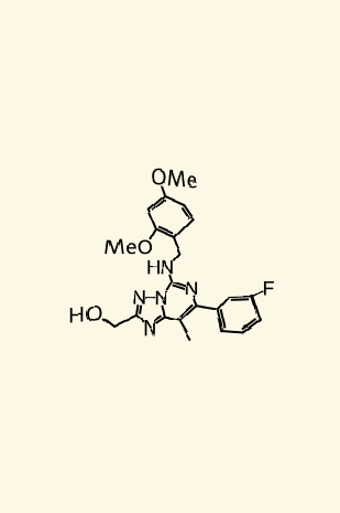 COc1ccc(CNc2nc(-c3cccc(F)c3)c(C)c3nc(CO)nn23)c(OC)c1